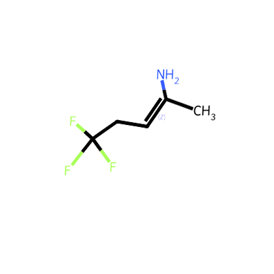 C/C(N)=C/CC(F)(F)F